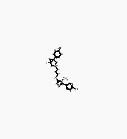 Cc1ccc(-c2nnc(SCCCN3C[C@@H]4CC4(c4ccc(Br)cc4)C3)n2C)cn1